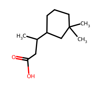 CC(CC(=O)O)C1CCCC(C)(C)C1